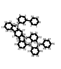 c1ccc(-c2cccc(-n3c4ccccc4c4cc5c6cccc7c6n(c5cc43)-c3cccc4c3B7c3ccccc3N4c3ccccc3)c2)cc1